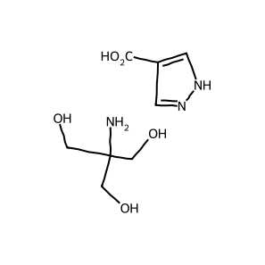 NC(CO)(CO)CO.O=C(O)c1cn[nH]c1